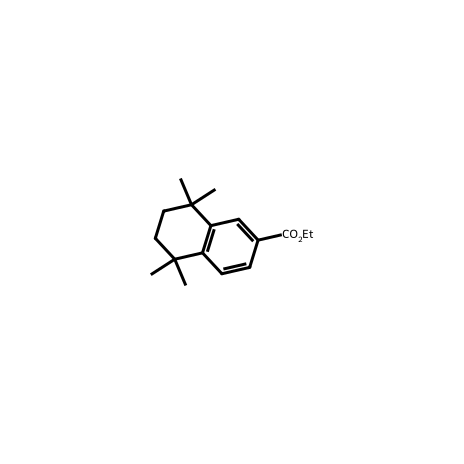 CCOC(=O)c1ccc2c(c1)C(C)(C)CCC2(C)C